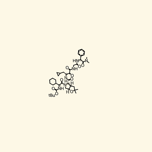 CN(C)C(=O)[C@@H](NC(=O)CNC(=O)C(=O)[C@H](CC1CC1)NC(=O)[C@@H]1[C@H]2CC(C)(C)O[C@H]2CN1C(=O)[C@@H](NC(=O)OC(C)(C)C)C1CCCCC1)c1ccccc1